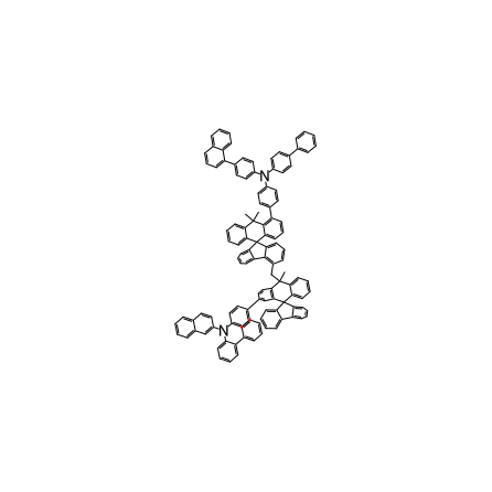 CC1(C)c2ccccc2C2(c3ccccc3-c3c(CC4(C)c5ccccc5C5(c6ccccc6-c6ccccc65)c5cc(-c6ccc(N(c7ccc8ccccc8c7)c7ccccc7-c7ccccc7)cc6)ccc54)cccc32)c2cccc(-c3ccc(N(c4ccc(-c5ccccc5)cc4)c4ccc(-c5cccc6ccccc56)cc4)cc3)c21